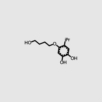 CC(C)c1cc(O)c(O)cc1OCCCCO